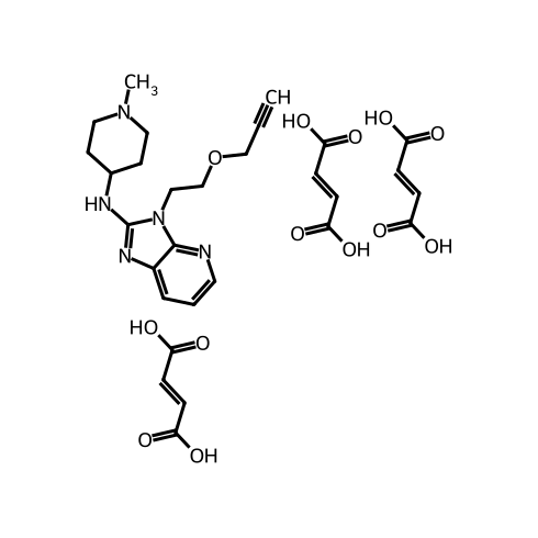 C#CCOCCn1c(NC2CCN(C)CC2)nc2cccnc21.O=C(O)C=CC(=O)O.O=C(O)C=CC(=O)O.O=C(O)C=CC(=O)O